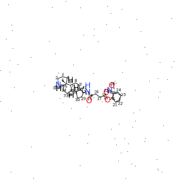 CN1CCC[C@]2(C)[C@H]3CC[C@]4(C)C(NC(=O)CCCOc5ccccc5[N+](=O)[O-])CC[C@H]4[C@@H]3CC[C@@H]12